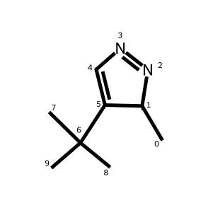 C[C]1N=NC=C1C(C)(C)C